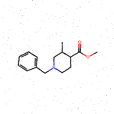 COC(=O)C1CCN(Cc2ccccc2)CC1C